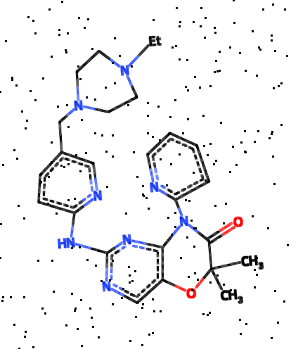 CCN1CCN(Cc2ccc(Nc3ncc4c(n3)N(c3ccccn3)C(=O)C(C)(C)O4)nc2)CC1